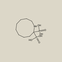 O=P(O)(O)C1(P(=O)(O)O)CCCCCCCCN1